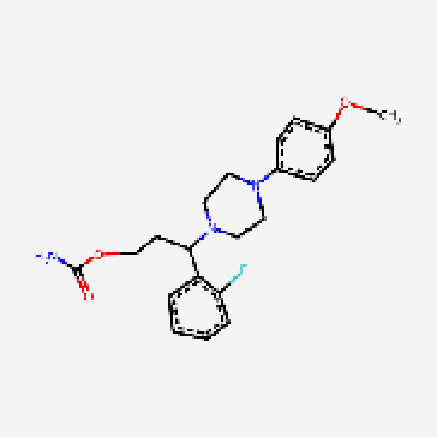 COc1ccc(N2CCN(C(CCOC(N)=O)c3ccccc3F)CC2)cc1